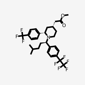 COC(=O)C[C@@H]1CCN([C@H](CCC(C)C)c2ccc(C(F)(F)C(F)(F)F)cc2)[C@H](c2ccc(C(F)(F)F)cc2)C1